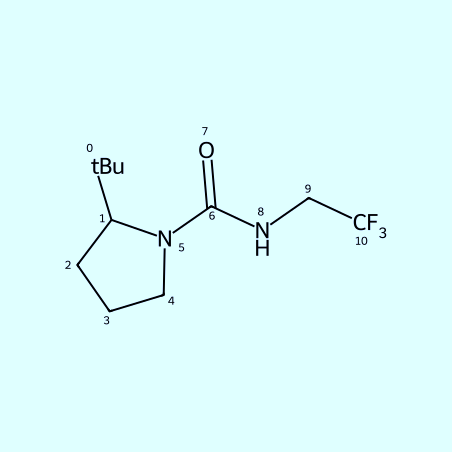 CC(C)(C)C1CCCN1C(=O)NCC(F)(F)F